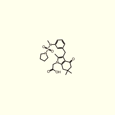 Cc1c(Cc2cccc(N(C)S(=O)(=O)N3CCCC3)c2)c2c(n1CC(=O)O)CC(C)(C)CC2=O